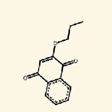 CCCOC1=CC(=O)c2ccccc2C1=O